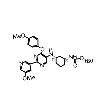 COc1ccc(Oc2nc(-c3cncc(OC)c3)ncc2N[C@H]2CCC[C@@H](NC(=O)OC(C)(C)C)C2)cc1